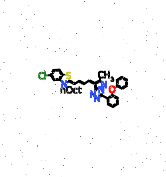 CCCCCCCCN1/C(=C/C=C/C=c2/c(C)nn3c(-c4ccccc4Oc4ccccc4)nnc23)Sc2ccc(Cl)cc21